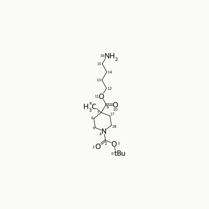 CC(C)(C)OC(=O)N1CCC(C)(C(=O)OCCCCN)CC1